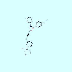 COC1(c2cccc(CC#Cc3nc(-c4ccccc4)c(-c4ccc(S(N)(=O)=O)cc4)o3)c2)CCOCC1